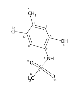 Cc1cc(O)c(NS(C)(=O)=O)cc1Cl